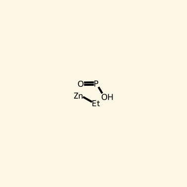 C[CH2][Zn].O=PO